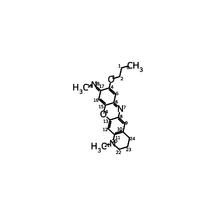 CCCOc1cc2nc3cc4c(cc3oc-2c/c1=N\C)N(C)CCC4